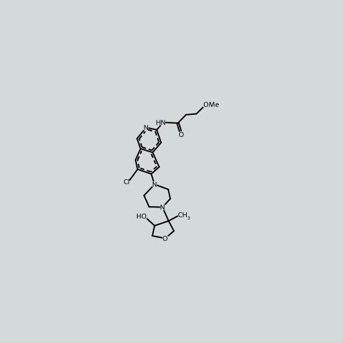 COCCC(=O)Nc1cc2cc(N3CCN(C4(C)COCC4O)CC3)c(Cl)cc2cn1